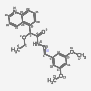 CCOC(C(=O)N/N=C/c1cc(OC)cc(OC)c1)c1cccc2ncccc12